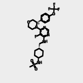 CS(=O)(=O)N[C@H]1CC[C@H](CNc2ncnc(N3CCOC[C@@H]3c3ccc(OC(F)(F)F)cc3)c2F)CC1